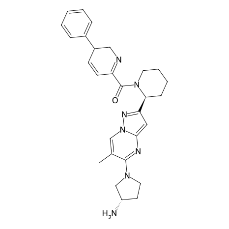 Cc1cn2nc([C@@H]3CCCCN3C(=O)C3=NCC(c4ccccc4)C=C3)cc2nc1N1CC[C@H](N)C1